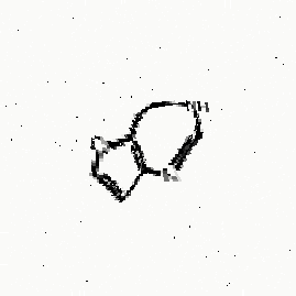 C1=Nc2ccoc2CN1